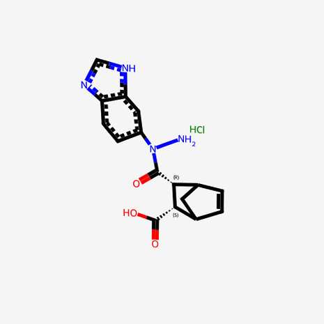 Cl.NN(C(=O)[C@@H]1C2C=CC(C2)[C@@H]1C(=O)O)c1ccc2nc[nH]c2c1